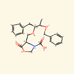 CC(OCc1ccccc1)[C@H](Cc1ccccc1)OCC1C(=O)OCN1C(=O)O